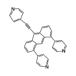 C(#Cc1c2cccc(-c3ccncc3)c2cc2c(-c3ccncc3)cccc12)c1ccncc1